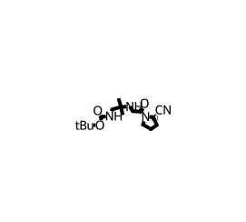 CC(C)(CNC(=O)OC(C)(C)C)NCC(=O)N1CCC[C@H]1C#N